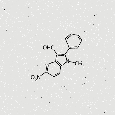 Cn1c(-c2ccccc2)c(C=O)c2cc([N+](=O)[O-])ccc21